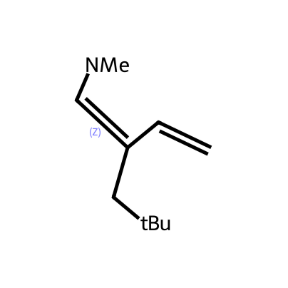 C=C/C(=C\NC)CC(C)(C)C